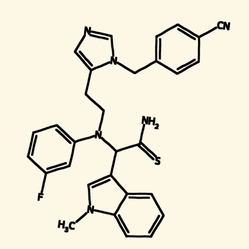 Cn1cc(C(C(N)=S)N(CCc2cncn2Cc2ccc(C#N)cc2)c2cccc(F)c2)c2ccccc21